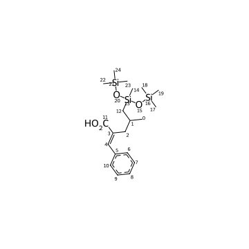 CC(CC(=Cc1ccccc1)C(=O)O)C[Si](C)(O[Si](C)(C)C)O[Si](C)(C)C